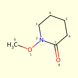 CON1CCCCC1=O